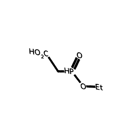 CCO[PH](=O)CC(=O)O